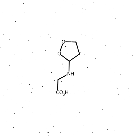 O=C(O)CNC1CCOO1